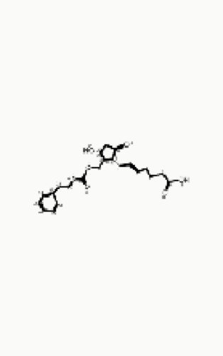 O=C(O)CCCC=CC[C@H]1C(=O)C[C@@H](O)[C@@H]1COC(=O)NCCc1ccccc1